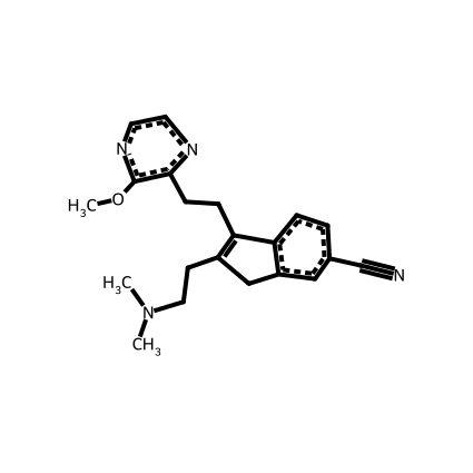 COc1nccnc1CCC1=C(CCN(C)C)Cc2cc(C#N)ccc21